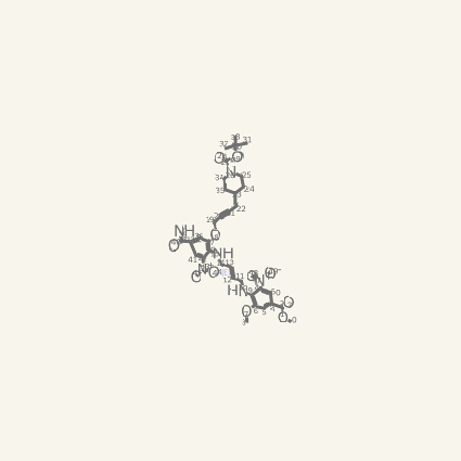 COC(=O)c1cc(OC)c(NC/C=C/CNc2c(OCC#CCC3CCN(C(=O)OC(C)(C)C)CC3)cc(C(N)=O)cc2[N+](=O)[O-])c([N+](=O)[O-])c1